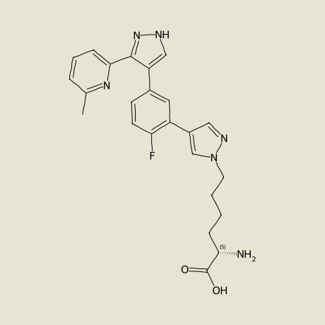 Cc1cccc(-c2n[nH]cc2-c2ccc(F)c(-c3cnn(CCCC[C@H](N)C(=O)O)c3)c2)n1